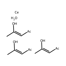 CC(=O)C=C(C)O.CC(=O)C=C(C)O.CC(=O)C=C(C)O.O.[Ce]